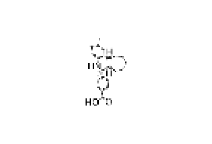 Cc1ccc2c(c1)[C@@H]1CCCCC[C@@H]1[C@H](c1ccc(C(=O)O)cc1)N2